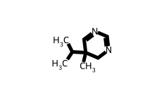 CC(C)C1(C)C=NC=NC1